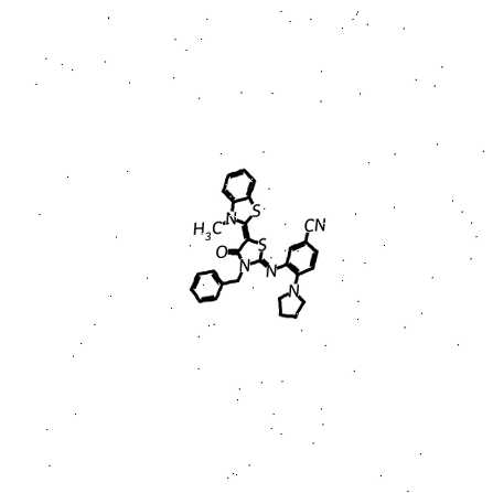 CN1/C(=C2/S/C(=N\c3cc(C#N)ccc3N3CCCC3)N(Cc3ccccc3)C2=O)Sc2ccccc21